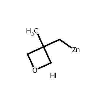 CC1([CH2][Zn])COC1.I